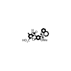 COc1cc(Cl)c(-n2c(=O)[nH]c3c(C)cc(C(=O)O)nc32)cc1S(=O)(=O)N1CCCCc2ccccc21